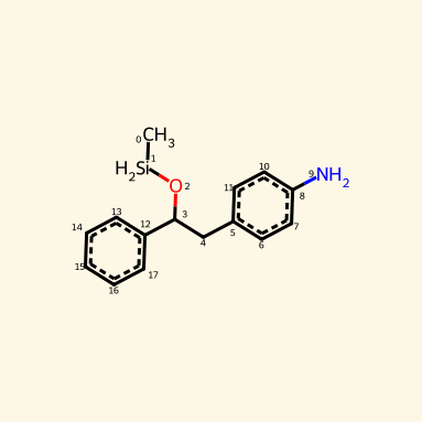 C[SiH2]OC(Cc1ccc(N)cc1)c1ccccc1